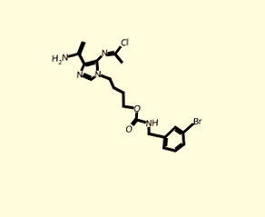 C=C(N)c1ncn(CCCCOC(=O)NCc2cccc(Br)c2)c1/N=C(\C)Cl